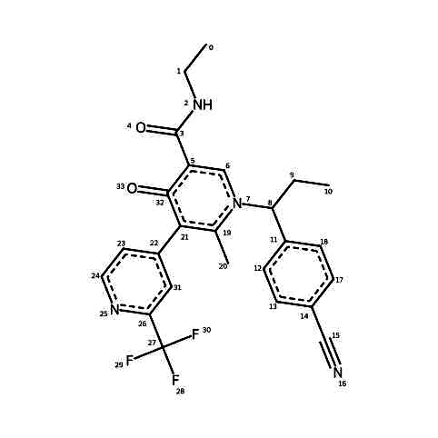 CCNC(=O)c1cn(C(CC)c2ccc(C#N)cc2)c(C)c(-c2ccnc(C(F)(F)F)c2)c1=O